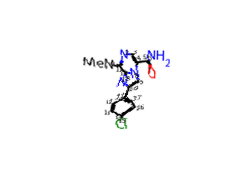 CNc1ncc(C(N)=O)n2cc(-c3ccc(Cl)cc3)nc12